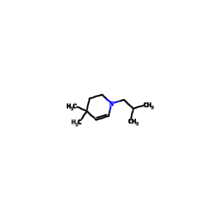 CC(C)CN1C=CC(C)(C)CC1